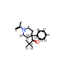 C=C(C)N1CCC(C(=O)C(C)(C)C)(c2ccccc2)CC1